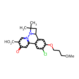 COCCCOc1cc2c(cc1Cl)-c1cc(=O)c(C(=O)O)cn1N1C2CC1(C)C